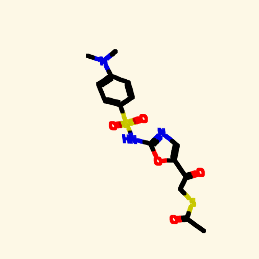 CC(=O)SCC(=O)c1cnc(NS(=O)(=O)c2ccc(N(C)C)cc2)o1